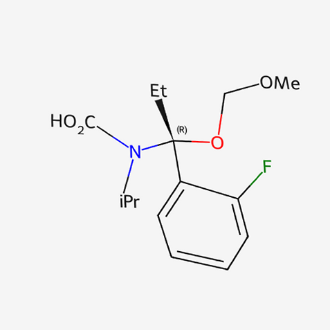 CC[C@@](OCOC)(c1ccccc1F)N(C(=O)O)C(C)C